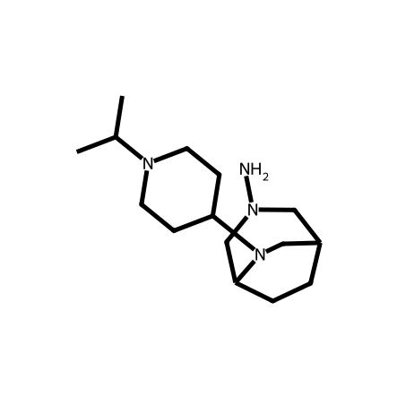 CC(C)N1CCC(N2CC3CCC2CN(N)C3)CC1